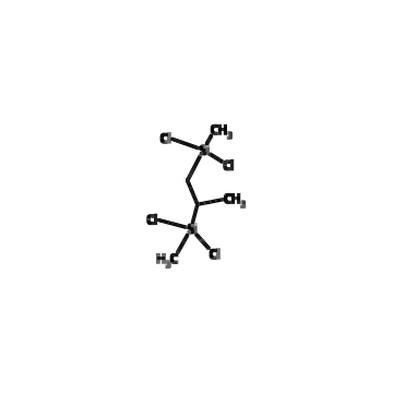 CC(C[Si](C)(Cl)Cl)[Si](C)(Cl)Cl